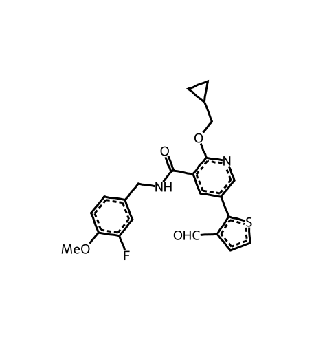 COc1ccc(CNC(=O)c2cc(-c3sccc3C=O)cnc2OCC2CC2)cc1F